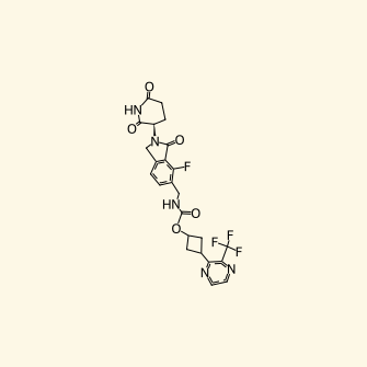 O=C1CC[C@@H](N2Cc3ccc(CNC(=O)OC4CC(c5nccnc5C(F)(F)F)C4)c(F)c3C2=O)C(=O)N1